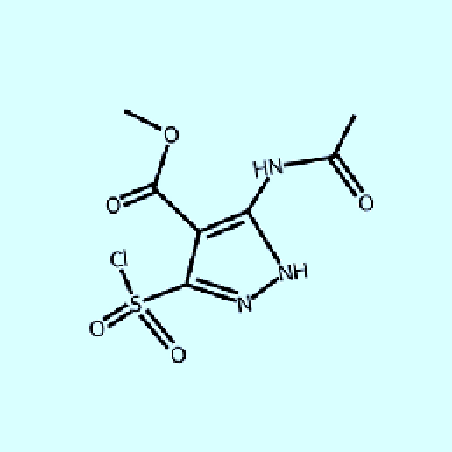 COC(=O)c1c(S(=O)(=O)Cl)n[nH]c1NC(C)=O